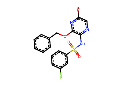 O=S(=O)(Nc1ncc(Br)nc1OCc1ccccc1)c1cccc(F)c1